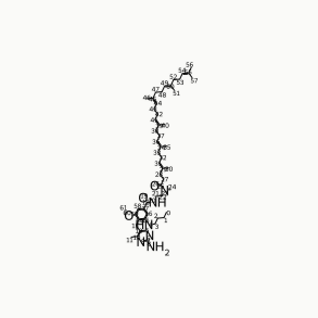 CCCCNc1nc(N)nc(C)c1Cc1ccc(C(=O)NCCN(C)C(=O)CC/C(C)=C/CC/C(C)=C/CC/C(C)=C/CC/C=C(\C)CC/C=C(\C)CCC=C(C)C)cc1OC